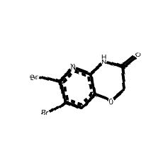 O=C1COc2cc(Br)c(Br)nc2N1